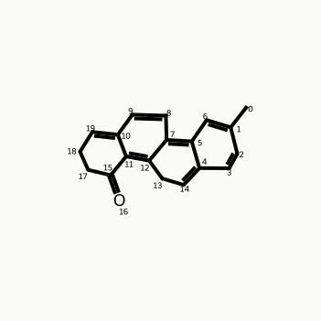 Cc1ccc2c(c1)=c1ccc3c(c1CC=2)C(=O)CCC=3